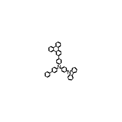 c1ccc(-c2ccc(N(c3ccc(-c4ccc5c6ccccc6c6ccccc6c5c4)cc3)c3ccc(-n4c5ccccc5c5ccccc54)cc3)cc2)cc1